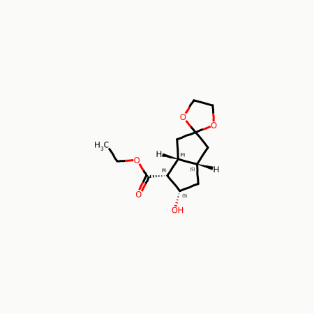 CCOC(=O)[C@@H]1[C@@H]2CC3(C[C@@H]2C[C@@H]1O)OCCO3